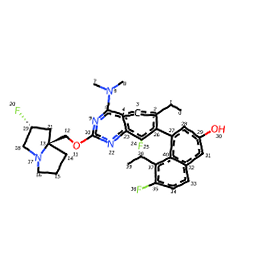 CCc1cc2c(N(C)C)nc(OC[C@@]34CCCN3C[C@H](F)C4)nc2c(F)c1-c1cc(O)cc2ccc(F)c(CC)c12